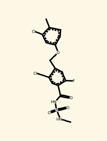 CNS(=O)(=O)NC(=O)c1cc(Cl)c(COc2ccc(C)c(Cl)c2)cc1F